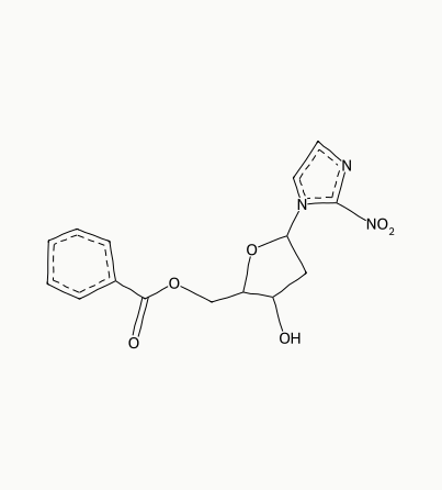 O=C(OCC1OC(n2ccnc2[N+](=O)[O-])CC1O)c1ccccc1